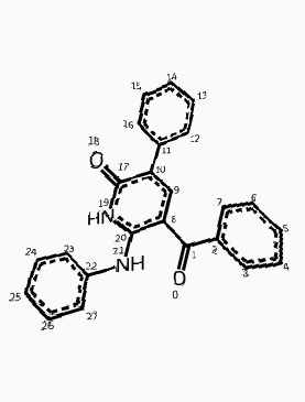 O=C(c1ccccc1)c1cc(-c2ccccc2)c(=O)[nH]c1Nc1ccccc1